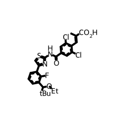 CCOC(c1cccc(-c2csc(NC(=O)c3cc(Cl)c(C=C(C)C(=O)O)c(Cl)c3)n2)c1F)C(C)(C)C